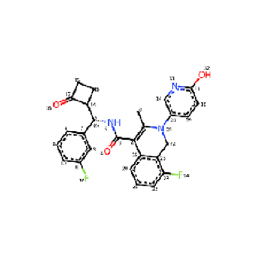 CC1=C(C(=O)N[C@H](c2cccc(F)c2)C2CCC2=O)c2cccc(F)c2CN1c1ccc(O)nc1